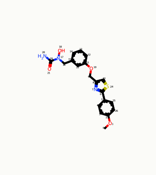 COc1ccc(-c2nc(COc3cccc(CN(O)C(N)=O)c3)cs2)cc1